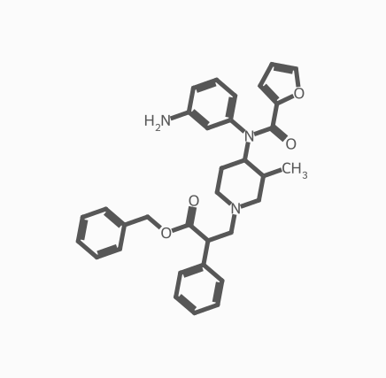 CC1CN(CC(C(=O)OCc2ccccc2)c2ccccc2)CCC1N(C(=O)c1ccco1)c1cccc(N)c1